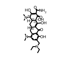 CCN(CC)Cc1cc(N(C)C)c2c(c1O)C(=O)C1=C(O)[C@]3(O)C(=O)C(C(N)=O)=C(O)[C@H](N(C)C)[C@@H]3C[C@@H]1C2